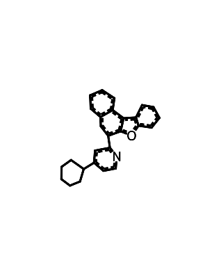 c1ccc2c(c1)cc(-c1cc(C3CCCCC3)ccn1)c1oc3ccccc3c12